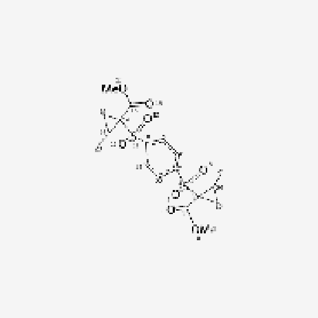 COC(=O)C1(S(=O)(=O)c2ccc(S(=O)(=O)C3(C(=O)OC)CC3C)cc2)CC1C